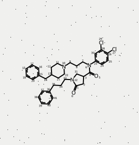 O=C1CC(C(=O)N(CCCN2CCC(Cc3ccccc3)CC2)c2ccc(Cl)c(Cl)c2)CN1CCCc1ccccc1